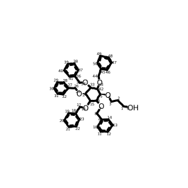 OCCCO[C@H]1C(OCc2ccccc2)C(OCc2ccccc2)[C@H](OCc2ccccc2)C(OCc2ccccc2)C1OCc1ccccc1